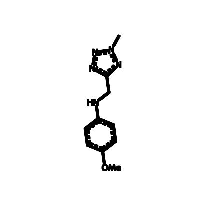 COc1ccc(NCc2nnn(C)n2)cc1